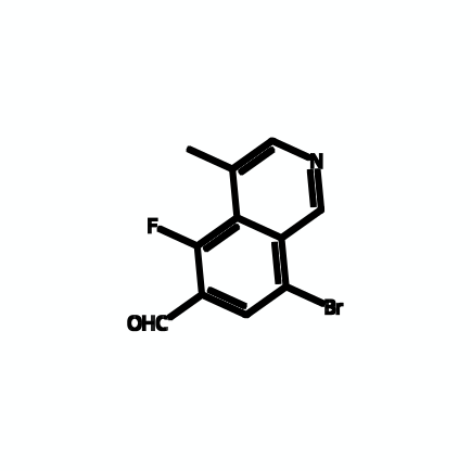 Cc1cncc2c(Br)cc(C=O)c(F)c12